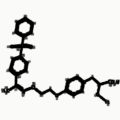 CCOC(Cc1ccc(OCCO/N=C(/C)c2ccc(S(=O)(=O)c3ccccc3)cc2)cc1)C(=O)O